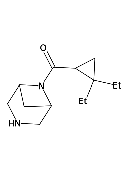 CCC1(CC)CC1C(=O)N1C2CNCC1C2